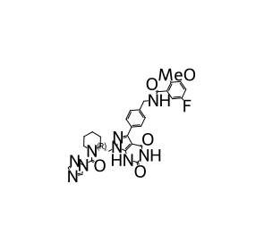 COc1ccc(F)cc1C(=O)NCc1ccc(-c2nn(C[C@H]3CCCCN3C(=O)n3cncn3)c3[nH]c(=O)[nH]c(=O)c23)cc1